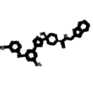 Cc1cc(Nc2nccc(C(F)(F)F)n2)cc(-c2cnc([C@]3(O)CC[C@@H](C(=O)NCc4cn5ccccc5n4)CC3)s2)c1